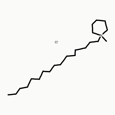 CCCCCCCCCCCCCCCC[N+]1(C)CCCCC1.[Cl-]